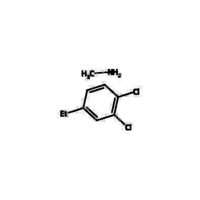 CCc1ccc(Cl)c(Cl)c1.CN